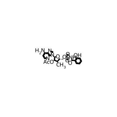 CC(=O)O[C@@H]1[C@H](C)[C@@H](COS(=O)(=O)NC(=O)c2ccccc2O)O[C@H]1n1cnc2c(N)ccnc21